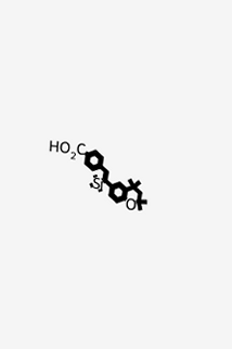 CC1(C)CC(C)(C)c2cc(C(=Cc3ccc(C(=O)O)cc3)[Si](C)(C)C)ccc2O1